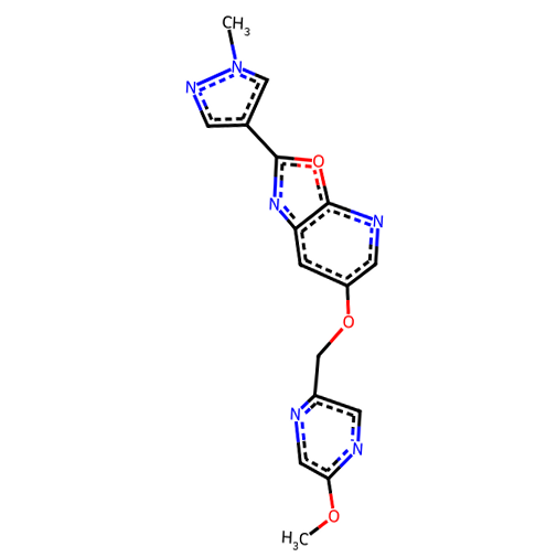 COc1cnc(COc2cnc3oc(-c4cnn(C)c4)nc3c2)cn1